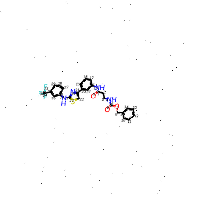 O=C(CCNC(=O)OCc1ccccc1)Nc1cccc(-c2csc(Nc3cccc(C(F)(F)F)c3)n2)c1